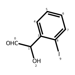 O=CC(O)c1ccccc1I